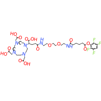 O=C(O)CN1CCN(CC(=O)O)CCN(C(CCC(=O)NCCOCCOCCNC(=O)CCCCC(=O)Oc2c(F)c(F)cc(F)c2F)C(=O)O)CCN(CC(=O)O)CC1